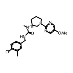 COc1cnc(N2CCC[C@@H](N(C)C(=O)NCc3ccc(Cl)c(C)c3)C2)nc1